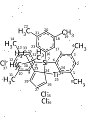 Cc1cc(C)cc([Si](c2cc(C)cc(C)c2)(c2cc(C)cc(C)c2)[C]2([Ti+3])C=CC=C2C(C)(C)C)c1.[Cl-].[Cl-].[Cl-]